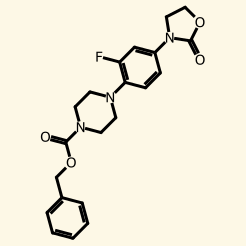 O=C(OCc1ccccc1)N1CCN(c2ccc(N3CCOC3=O)cc2F)CC1